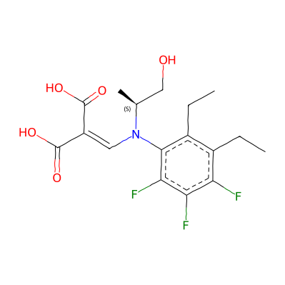 CCc1c(F)c(F)c(F)c(N(C=C(C(=O)O)C(=O)O)[C@@H](C)CO)c1CC